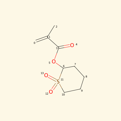 C=C(C)C(=O)OC1CCCCS1(=O)=O